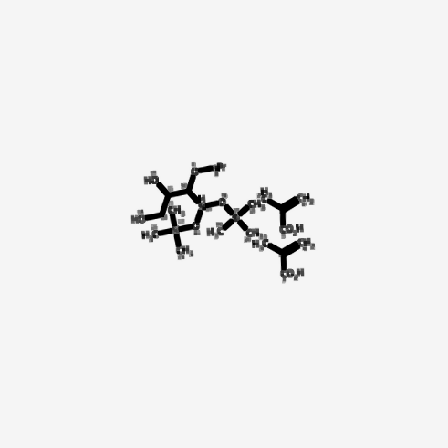 C=C(C)C(=O)O.C=C(C)C(=O)O.CCCOC(C(O)CO)[SiH](O[Si](C)(C)C)O[Si](C)(C)C